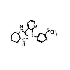 CSc1cccc(Oc2ncccc2C(=O)N[C@H]2CCCC[C@H]2O)c1